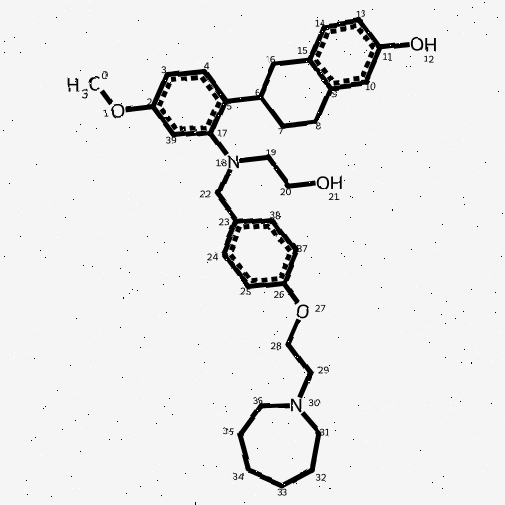 COc1ccc(C2CCc3cc(O)ccc3C2)c(N(CCO)Cc2ccc(OCCN3CCCCCC3)cc2)c1